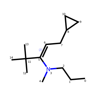 CCCN(C)/C(=C\CC1CC1)C(C)(C)C